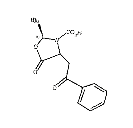 CC(C)(C)[C@@H]1OC(=O)C(CC(=O)c2ccccc2)N1C(=O)O